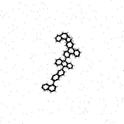 c1ccc2c(-c3ccc4cc(-c5c6ccccc6c(-c6ccc7c(c6)c6ccccc6c6cc8oc9ccc%10ccccc%10c9c8cc76)c6ccccc56)ccc4c3)cccc2c1